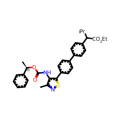 CCOC(=O)C(c1ccc(-c2ccc(-c3snc(C)c3NC(=O)O[C@H](C)c3ccccc3)cc2)cc1)C(C)C